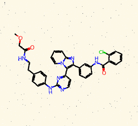 COCC(=O)NCCc1ccc(Nc2nccc(-c3c(-c4cccc(NC(=O)c5ccccc5Cl)c4)nc4ccccn34)n2)cc1